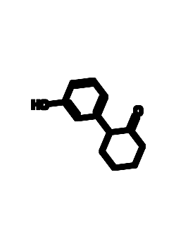 O=C1CCCCC1c1cccc(O)c1